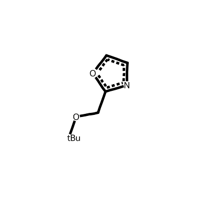 CC(C)(C)OCc1ncco1